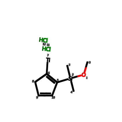 CO[Si](C)(C)C1=[C]([Ti])CC=C1.Cl.Cl